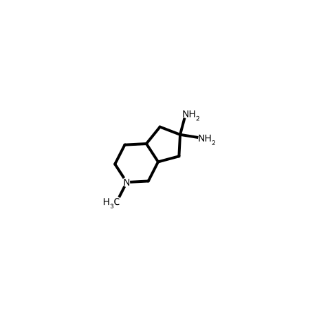 CN1CCC2CC(N)(N)CC2C1